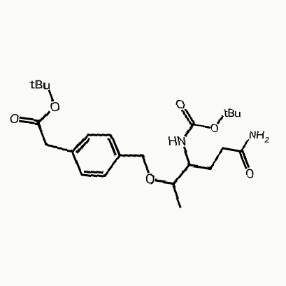 CC(OCc1ccc(CC(=O)OC(C)(C)C)cc1)C(CCC(N)=O)NC(=O)OC(C)(C)C